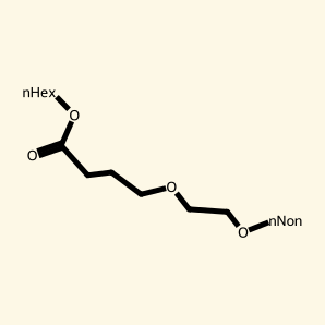 CCCCCCCCCOCCOCCCC(=O)OCCCCCC